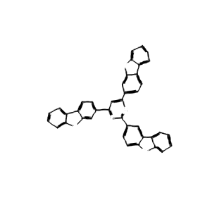 c1ccc2c(c1)oc1cc(-c3cc(-c4ccc5c(c4)sc4ccccc45)nc(-c4ccc5oc6ccccc6c5c4)n3)ccc12